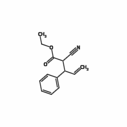 C=CC(c1ccccc1)C(C#N)C(=O)OCC